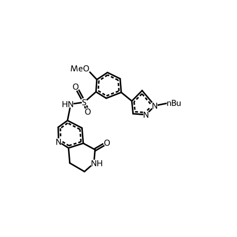 CCCCn1cc(-c2ccc(OC)c(S(=O)(=O)Nc3cnc4c(c3)C(=O)NCC4)c2)cn1